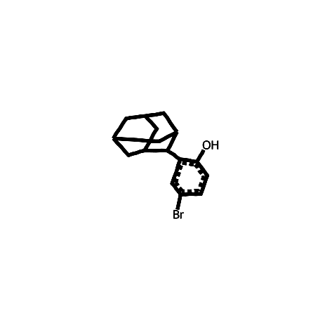 Oc1ccc(Br)cc1C1C2CC3CC(C2)CC1C3